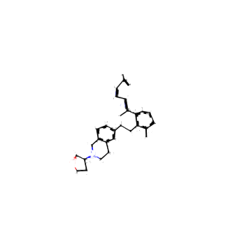 C=C(C)/C=C\C=C(/C)c1cccc(C)c1CCc1ccc2c(c1)CCN(C1CCOC1)C2